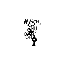 CC(C)(C)OC(=O)N[C@H]1CSc2c(C(=O)O)cn(Cc3ccc(C4CC4)cc3)c(=O)c21